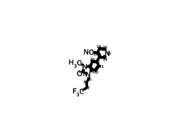 Cn1c(=O)n(CCCC(F)(F)F)c2ccc(-c3cnccc3C#N)cc21